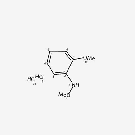 CONc1ccccc1OC.Cl.Cl